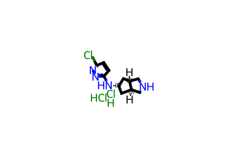 Cl.Cl.Clc1ccc(N[C@@H]2C[C@H]3CNC[C@H]3C2)nn1